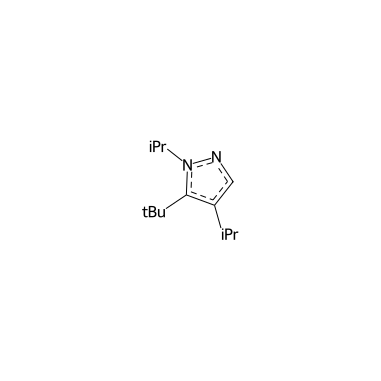 CC(C)c1cnn(C(C)C)c1C(C)(C)C